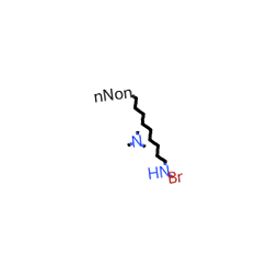 CCCCCCCCCCCCCCCCCCNBr.CN(C)C